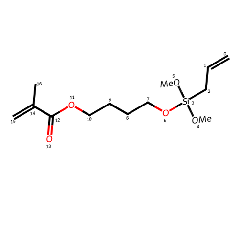 C=CC[Si](OC)(OC)OCCCCOC(=O)C(=C)C